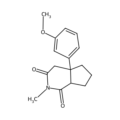 COc1cccc(C23CCCC2C(=O)N(C)C(=O)C3)c1